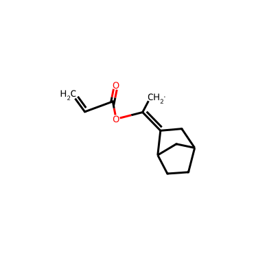 [CH2]C(OC(=O)C=C)=C1CC2CCC1C2